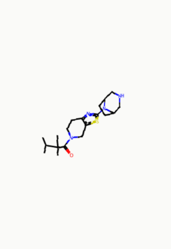 CC(C)C(C)(C)C(=O)N1CCc2nc(N3C4CCC3CNC4)sc2C1